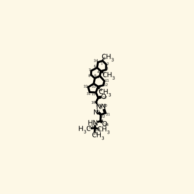 C[C@H]1CCC2(C)C(CCC3C2CCC2(C)C(C(=O)Cn4ncc(C(=O)NC(C)(C)C)n4)CCC32)C1